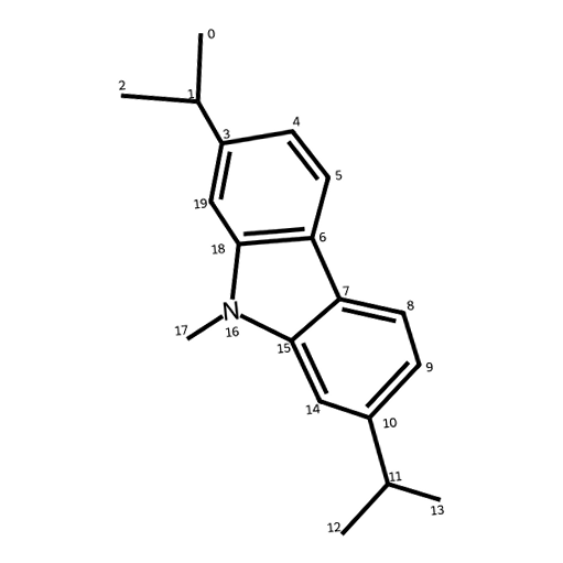 CC(C)c1ccc2c3ccc(C(C)C)cc3n(C)c2c1